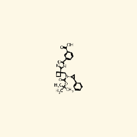 CC(C)(C)OC(=O)N(CC1(c2noc(-c3cccc(C(=O)O)c3)n2)CCC1)[C@H]1CC1c1ccccc1